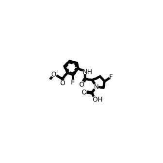 COC(=O)c1cccc(NC(=O)C2CC(F)CN2C(=O)O)c1F